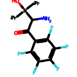 CC(C)[Si](O)(C(C)C)C(N)C(=O)c1c(F)c(F)c(F)c(F)c1F